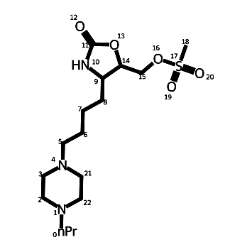 CCCN1CCN(CCCCC2NC(=O)OC2COS(C)(=O)=O)CC1